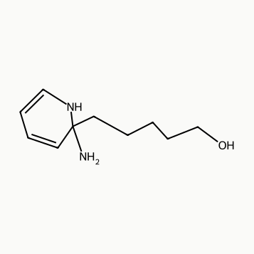 NC1(CCCCCO)C=CC=CN1